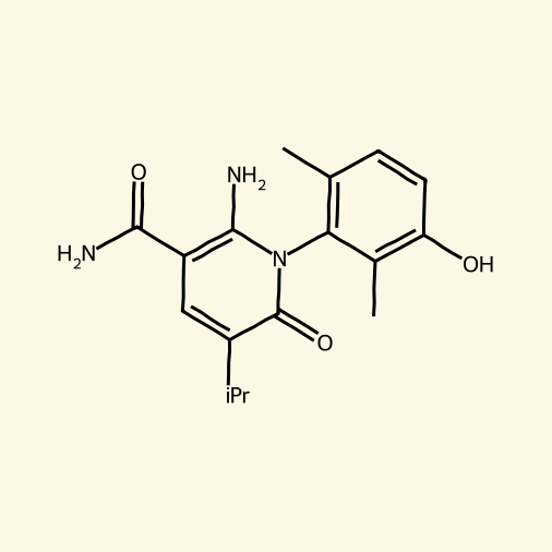 Cc1ccc(O)c(C)c1-n1c(N)c(C(N)=O)cc(C(C)C)c1=O